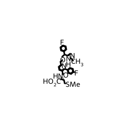 CSCC[C@H](NC(=O)c1ccc(COCC(c2ccc(F)cc2)c2cnc(C)[nH]2)nc1-c1ccc(F)cc1)C(=O)O